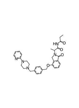 CCC(=O)NC(=O)C(C)N1Cc2c(OCc3ccc(CN4CCN(c5ccccn5)CC4)cc3)cccc2C1=O